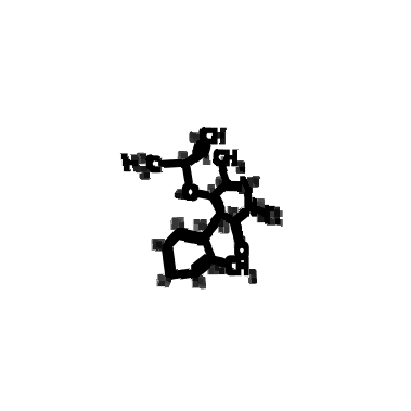 C#CC(C)Oc1c(C)nn(CC)c(=O)c1-c1ccccc1C